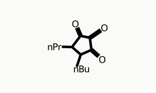 CCCCC1C(=O)C(=O)C(=O)C1CCC